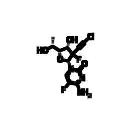 C[C@@H](O)[C@H]1O[C@@H](n2cc(F)c(N)nc2=O)C(F)(C#CCl)[C@H]1O